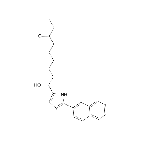 CCC(=O)CCCCCC(O)c1cnc(-c2ccc3ccccc3c2)[nH]1